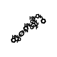 O=C(Nc1ccc(N2CCN(C(=O)Nc3ccccc3F)CC2)nc1)c1oc(NC2CCN(Cc3ccccc3)C2)nc1C(F)(F)F